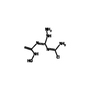 C=C(/N=C(\N=C(/N)Cl)NN)NO